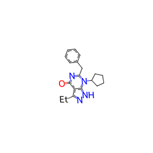 CCc1n[nH]c2c1c(=O)nc(Cc1ccccc1)n2C1CCCC1